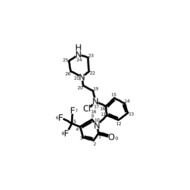 O=c1ccc(C(F)(F)F)cn1-c1ccccc1N(Cl)CCN1CCNCC1